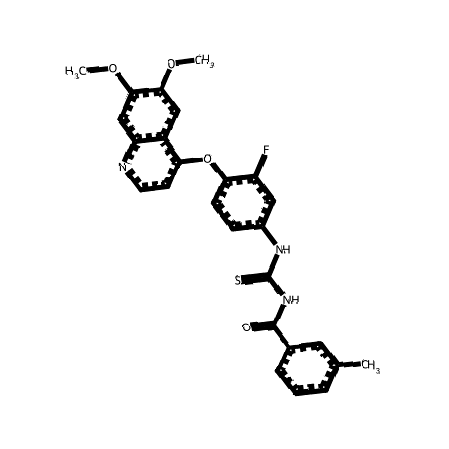 COc1cc2nccc(Oc3ccc(NC(=S)NC(=O)c4cccc(C)c4)cc3F)c2cc1OC